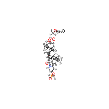 CC(C)(CC(=O)O[C@H]1CC[C@]2(C)[C@H]3CC[C@@H]4[C@H]5[C@H](C6(C)CC6)CC[C@]5(C(=O)N5CCC(OP(C)(C)=O)CC5)CC[C@@]4(C)[C@]3(C)CC[C@H]2C1(C)C)OC=O